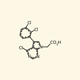 O=C(O)Cn1cc(-c2cccc(Cl)c2Cl)c2c(Cl)ncnc21